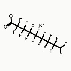 O=C([O-])C(F)(F)C(F)(F)C(F)(F)C(F)(F)C(F)(F)C(F)(F)C(F)(F)C(F)F.[K+]